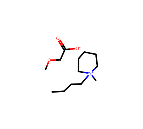 CCCC[N+]1(C)CCCCC1.COCC(=O)[O-]